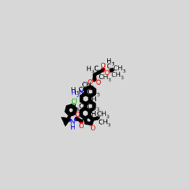 CC(C)C1=C2[C@H]3CC[C@@H]4[C@@]5(C)CC[C@H](OC(=O)CC(C)(C)C(=O)OC(C)(C)C)C(C)(C)[C@]5(N)CC[C@@]4(C)[C@]3(C)CC[C@@]2(C(=O)C(=O)NC2(c3ccc(Cl)cc3)CC2)CC1=O